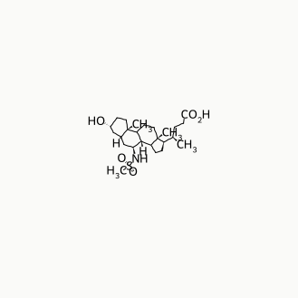 C[C@H](CCC(=O)O)[C@H]1CCC2[C@H]3C(CC[C@@]21C)[C@@]1(C)CC[C@@H](O)C[C@H]1C[C@@H]3NS(C)(=O)=O